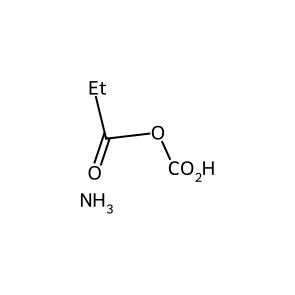 CCC(=O)OC(=O)O.N